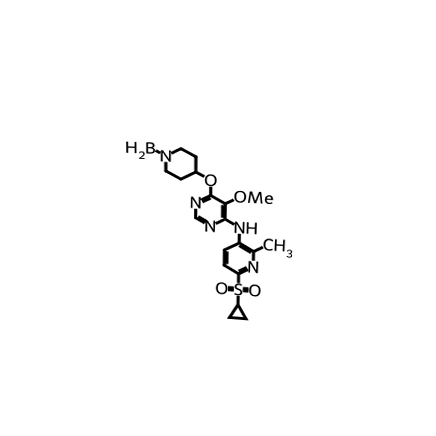 BN1CCC(Oc2ncnc(Nc3ccc(S(=O)(=O)C4CC4)nc3C)c2OC)CC1